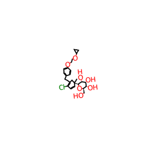 CC1([C@@H]2O[C@H](CO)[C@@H](O)[C@H](O)[C@H]2O)C=CC(Cl)=C(Cc2ccc(OCCOC3CC3)cc2)C1